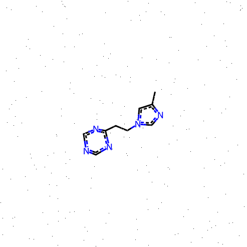 Cc1cn(CCc2ncncn2)cn1